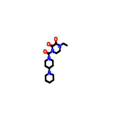 CCN1CCN(C(=O)N2CCC(N3CCCCC3)CC2)C(=O)C1=O